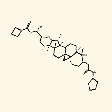 CC(C)[C@@H](OC(=O)N1CCC1)C1C[C@@H](C)[C@H]2C(O1)[C@H](O)[C@@]1(C)C3CC[C@H]4C(C)(C)C(OC(=O)N[C@H]5CCOC5)CC[C@@]45C[C@@]35CC[C@]21C